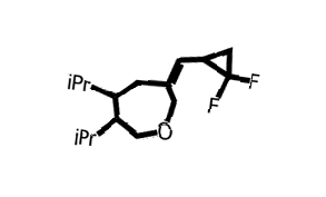 CC(C)C1COC/C(=C\C2CC2(F)F)CC1C(C)C